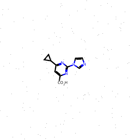 O=C(O)c1cc(C2CC2)nc(-n2ccnc2)n1